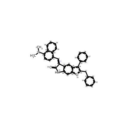 CN(C)c1ccc(/C=C2\C(=O)Nc3cc4oc(Cc5ccccc5)c(-c5ccccc5)c4cc32)c2ccccc12